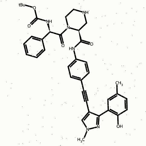 Cc1ccc(O)c(-c2nn(C)cc2C#Cc2ccc(NC(=O)[C@@H]3CNCCN3C(=O)[C@H](NC(=O)OC(C)(C)C)c3ccccc3)cc2)c1